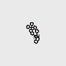 c1ccc(-c2nc3ccc4ccccc4c3nc2-c2ccc3ccc4c(c3c2)-c2ccccc2C4(c2ccccc2)c2ccccc2)cc1